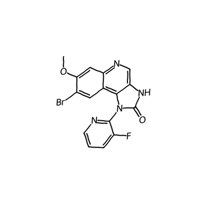 COc1cc2ncc3[nH]c(=O)n(-c4ncccc4F)c3c2cc1Br